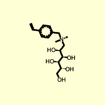 C=Cc1ccc(C[N+](C)(C)C[C@H](O)[C@@H](O)[C@H](O)[C@H](O)CO)cc1